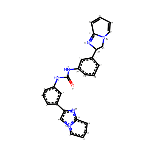 O=C(Nc1cccc(-c2cn3ccccc3n2)c1)Nc1cccc(C2CN3C=CC=CC3=N2)c1